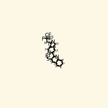 CCSc1cc2ccccc2nc1-c1cc2cnn(CC(F)(F)C(F)(F)F)c2cn1